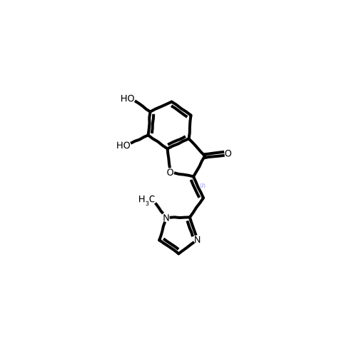 Cn1ccnc1/C=C1\Oc2c(ccc(O)c2O)C1=O